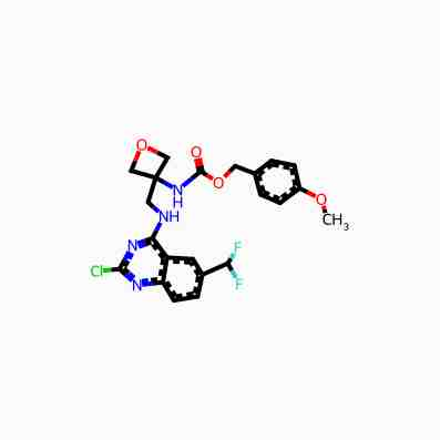 COc1ccc(COC(=O)NC2(CNc3nc(Cl)nc4ccc(C(F)F)cc34)COC2)cc1